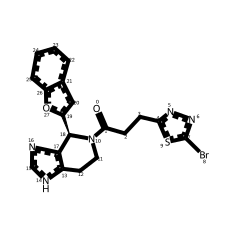 O=C(CCc1nnc(Br)s1)N1CCc2[nH]cnc2[C@H]1c1cc2ccccc2o1